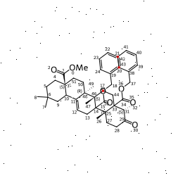 COC(=O)[C@]12CCC(C)(C)CC1C1=CCC3(C(=O)OCc4ccccc4)[C@@]4(C)CCC(=O)[C@@H](C)C4(C(=O)OCc4ccccc4)CC[C@@]3(C)[C@]1(C)CC2